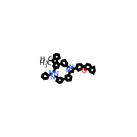 CC1(C)c2ccccc2-c2ccc(-c3nc(-c4ccccc4)nc(-c4cccc(-c5cccc(-c6cc(-c7ccc8c(c7)oc7c9ccccc9ccc87)nc(-c7ccccc7)n6)c5)c4)n3)cc21